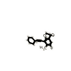 Cc1c(F)cc2c(c1C#CC1CCCCC1)OCC2=O